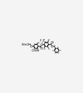 COCOc1cc(C)c(C(=O)Oc2c(C)c(C)c(C(=O)OCc3ccccc3)c(C)c2C(F)(F)F)c(OC)c1